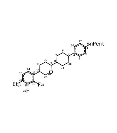 CCCCCc1ccc(C2CCC(C3CCC(c4ccc(CC)c(F)c4F)CO3)CC2)cc1